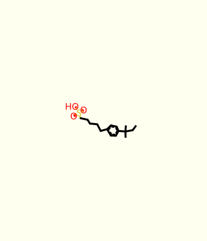 CCC(C)(C)c1ccc(CCCCCS(=O)(=O)O)cc1